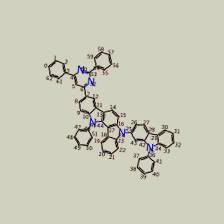 c1ccc(-c2cc(-c3ccc4c(c3)c3ccc5c(c6ccccc6n5-c5ccc6c7ccccc7n(-c7ccccc7)c6c5)c3n4-c3ccccc3)nc(-c3ccccc3)n2)cc1